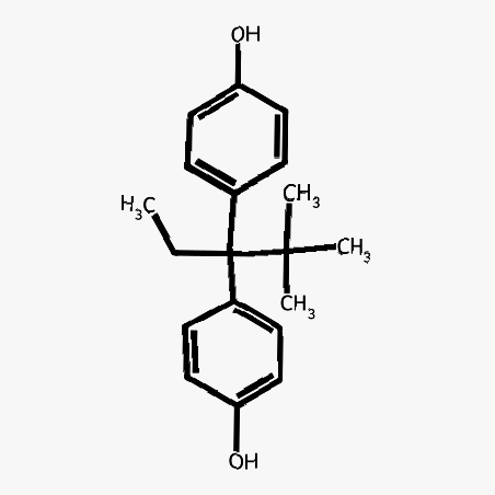 CCC(c1ccc(O)cc1)(c1ccc(O)cc1)C(C)(C)C